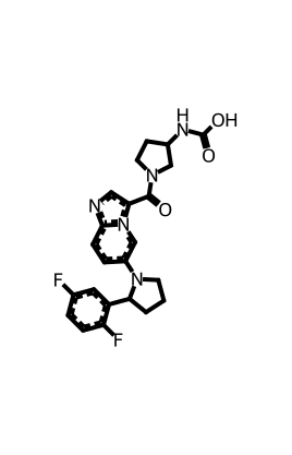 O=C(O)NC1CCN(C(=O)c2cnc3ccc(N4CCCC4c4cc(F)ccc4F)cn23)C1